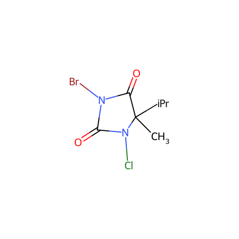 CC(C)C1(C)C(=O)N(Br)C(=O)N1Cl